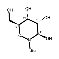 CC(C)(C)N1O[C@@H](CO)[C@H](O)[C@H](O)[C@H]1O